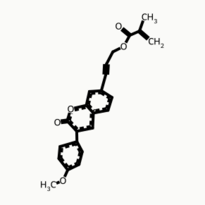 C=C(C)C(=O)OCC#Cc1ccc2cc(-c3ccc(OC)cc3)c(=O)oc2c1